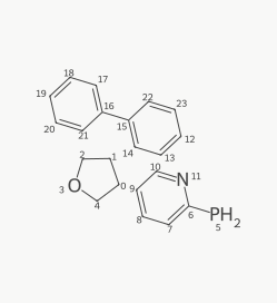 C1CCOC1.Pc1ccccn1.c1ccc(-c2ccccc2)cc1